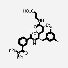 CCCN(CCC)C(=O)c1cccc(C(=O)N[C@@H](Cc2cc(F)cc(F)c2)[C@@H](O)C[C@@H](CC)C(=O)NCCC(=O)O)c1